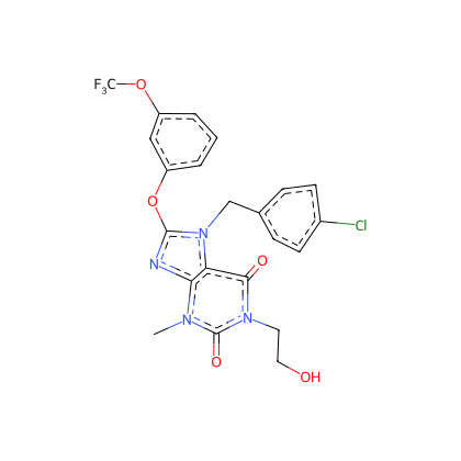 Cn1c(=O)n(CCO)c(=O)c2c1nc(Oc1cccc(OC(F)(F)F)c1)n2Cc1ccc(Cl)cc1